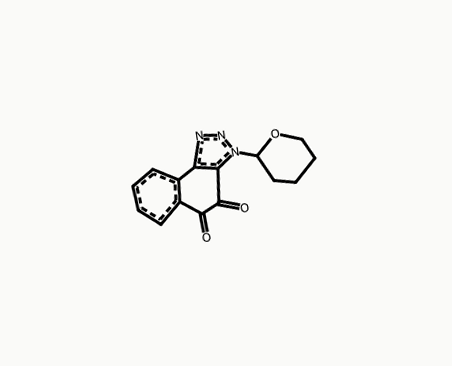 O=C1C(=O)c2c(nnn2C2CCCCO2)-c2ccccc21